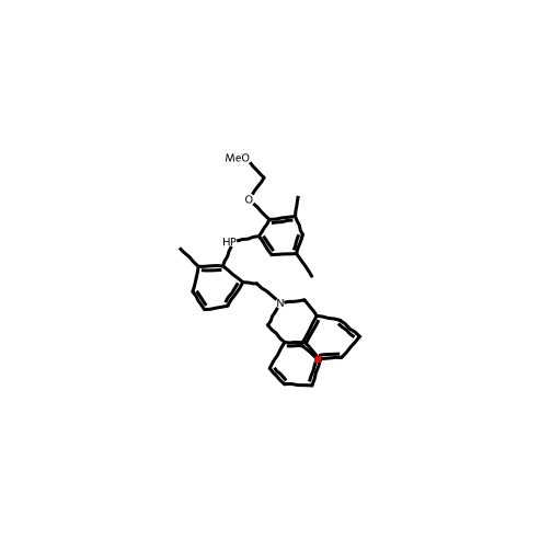 COCOc1c(C)cc(C)cc1Pc1c(C)cccc1CN(Cc1ccccc1)Cc1ccccc1